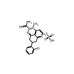 COc1ccnc2c1/C(=N\NC(=N)N)CC(c1ccccc1Cl)C2.CS(=O)(=O)O